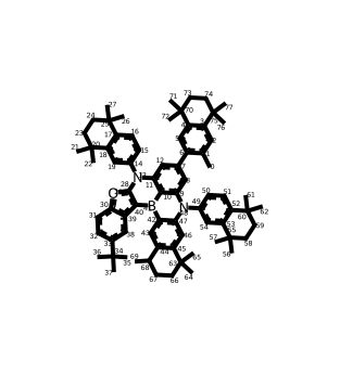 Cc1cc2c(cc1-c1cc3c4c(c1)N(c1ccc5c(c1)C(C)(C)CCC5(C)C)c1oc5ccc(C(C)(C)C)cc5c1B4c1cc4c(cc1N3c1ccc3c(c1)C(C)(C)CCC3(C)C)C(C)(C)CCC4C)C(C)(C)CCC2(C)C